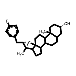 CC(CCc1ccc(F)cc1)C1CCC2C3CCC4C[C@@H](O)CCC4(C)C3CCC12C